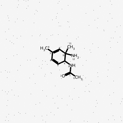 CC(=O)NC1C=CC(C)=CC1(C)N